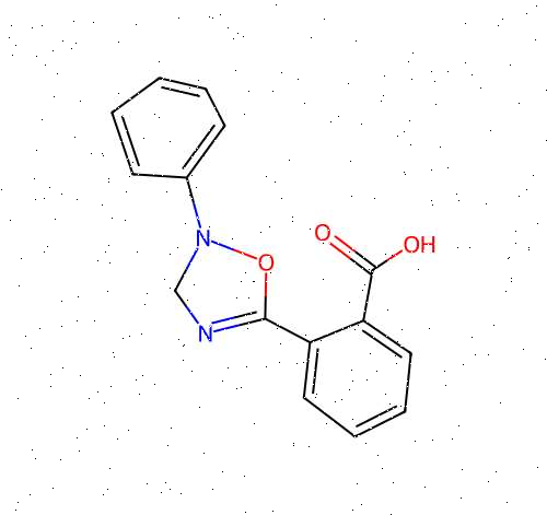 O=C(O)c1ccccc1C1=NCN(c2ccccc2)O1